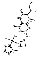 CO[C@H](C)[C@H]1C(=O)Nc2c(C)nc(N[C@H]3C[C@@H](Cn4nccc4C(F)(F)F)C3)nc2N1C